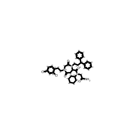 NC(=O)CN(C(=O)C1CC(=O)N(CCc2ccc(Cl)cc2Cl)CC(=O)N1CCC(c1ccccc1)c1ccccc1)C1CCCCC1